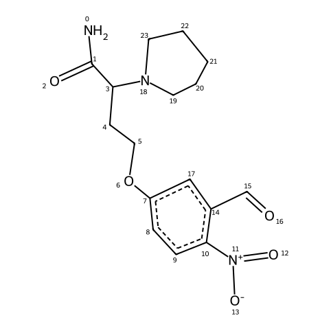 NC(=O)C(CCOc1ccc([N+](=O)[O-])c(C=O)c1)N1CCCCC1